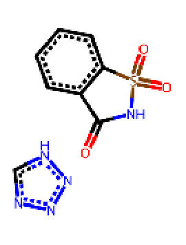 O=C1NS(=O)(=O)c2ccccc21.c1nnn[nH]1